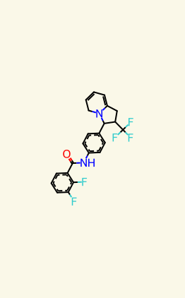 O=C(Nc1ccc(C2C(C(F)(F)F)CC3=CC=CCN32)cc1)c1cccc(F)c1F